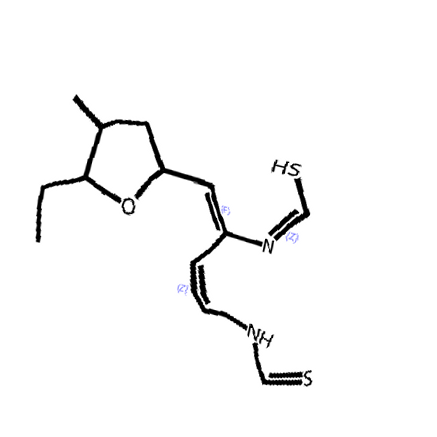 CCC1OC(/C=C(\C=C/NC=S)/N=C\S)CC1C